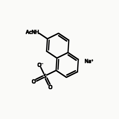 CC(=O)Nc1ccc2cccc(S(=O)(=O)[O-])c2c1.[Na+]